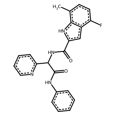 Cc1ccc(F)c2cc(C(=O)NC(C(=O)Nc3ccccc3)c3ccccn3)[nH]c12